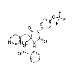 CC1(Cc2ccncc2OC(=O)c2ccccc2)NC(=O)N(c2ccc(OC(F)(F)F)cc2)C1=O